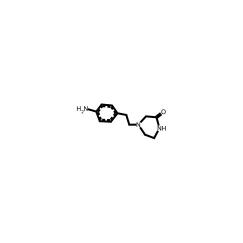 Nc1ccc(CCN2CCNC(=O)C2)cc1